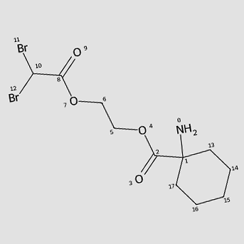 NC1(C(=O)OCCOC(=O)C(Br)Br)CCCCC1